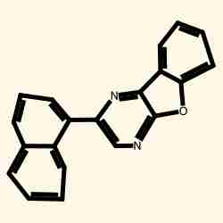 c1ccc2c(-c3cnc4oc5ccccc5c4n3)cccc2c1